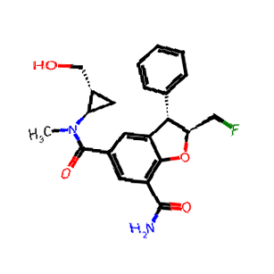 CN(C(=O)c1cc(C(N)=O)c2c(c1)[C@H](c1ccccc1)[C@@H](CF)O2)[C@@H]1C[C@H]1CO